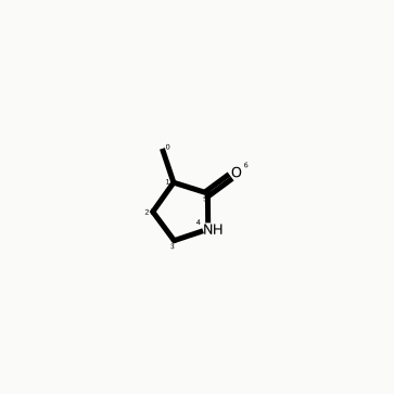 CC1C[CH]NC1=O